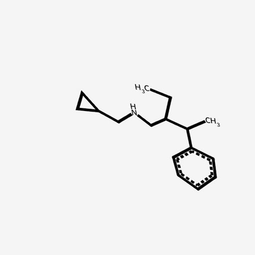 CCC(CNCC1CC1)C(C)c1ccccc1